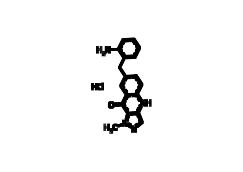 Cl.Cn1ncc2[nH]c3ccc(Cc4ccccc4N)cc3c(=O)c21